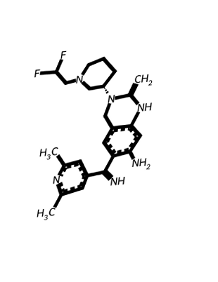 C=C1Nc2cc(N)c(C(=N)c3cc(C)nc(C)c3)cc2CN1[C@H]1CCCN(CC(F)F)C1